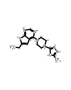 FC(F)(F)Cc1cc2c(N3CCN(c4nnc(C(F)(F)F)o4)CC3)ncnc2s1